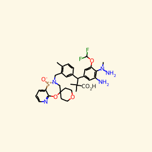 Cc1ccc(C(c2cc(N)c(N(C)N)c(OC(F)F)c2)C(C)(C)C(=O)O)cc1CN1CC2(CCOCC2)Oc2ncccc2[S+]1[O-]